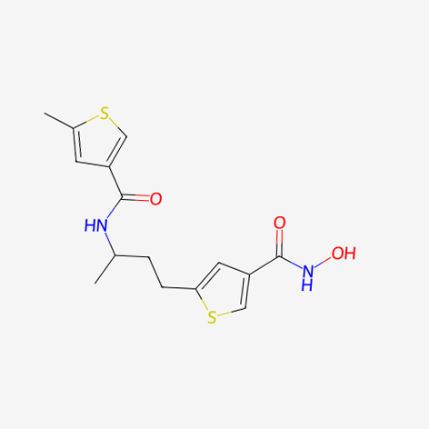 Cc1cc(C(=O)NC(C)CCc2cc(C(=O)NO)cs2)cs1